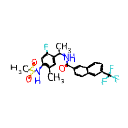 Cc1cc([C@@H](C)NC(=O)c2ccc3cc(C(F)(F)F)ccc3c2)c(F)cc1NS(C)(=O)=O